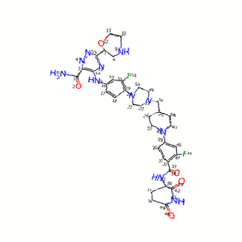 NC(=O)c1nnc(C2CNCCO2)nc1Nc1ccc(N2CCN(CC3CCN(c4ccc(C(=O)NC5CCC(=O)NC5=O)c(F)c4)CC3)CC2)c(F)c1